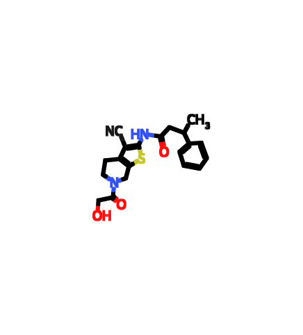 CC(CC(=O)Nc1sc2c(c1C#N)CCN(C(=O)CO)C2)c1ccccc1